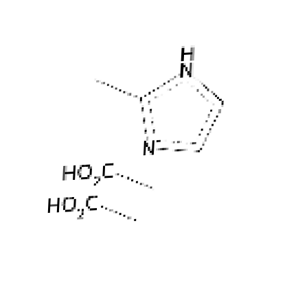 CC(=O)O.CC(=O)O.Cc1ncc[nH]1